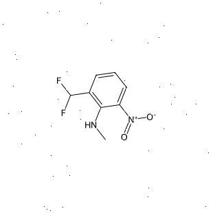 CNc1c(C(F)F)cccc1[N+](=O)[O-]